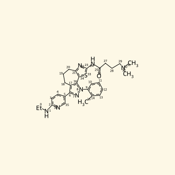 CCNc1ccc(-c2nn(-c3ccccc3C)c3c2CCCc2nc(NC(=O)CCCN(C)C)sc2-3)cn1